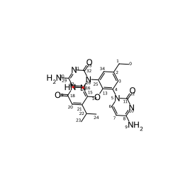 CCc1cc(-n2ccc(N)nc2=O)c(Oc2n[nH]c(=O)cc2C(C)C)c(-n2ccc(N)nc2=O)c1